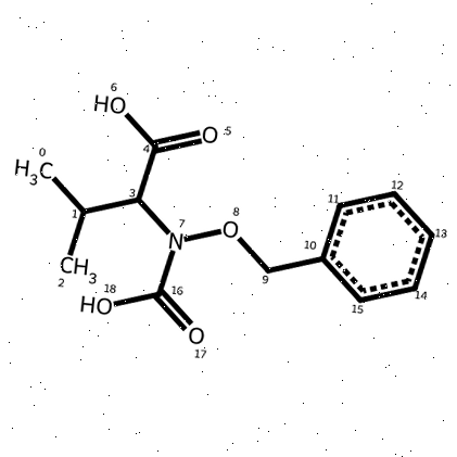 CC(C)C(C(=O)O)N(OCc1ccccc1)C(=O)O